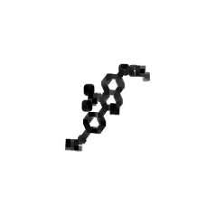 C#Cc1ccc(-c2ncc3cc(OC)ccc3c2[N+](=O)[O-])cc1